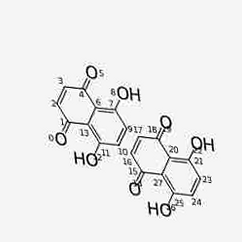 O=C1C=CC(=O)c2c(O)ccc(O)c21.O=C1C=CC(=O)c2c(O)ccc(O)c21